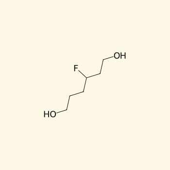 OCCCC(F)CCO